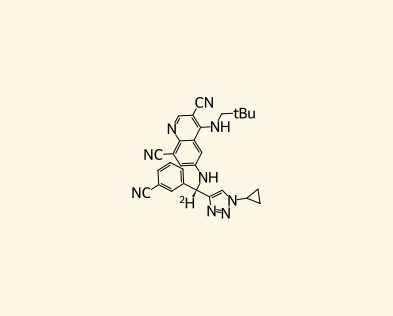 [2H][C@](Nc1cc(C#N)c2ncc(C#N)c(NCC(C)(C)C)c2c1)(c1cccc(C#N)c1)c1cn(C2CC2)nn1